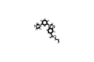 CCCOC(C)c1ccc2c(c1)ncn2-c1cccc(-n2ccnc2)c1